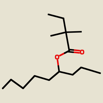 CCCCCC(CCC)OC(=O)C(C)(C)CC